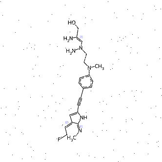 C/N=C1/NC(C#Cc2ccc(N(C)CCN(N)/C=C(\N)CO)cc2)=C/C1=C/CF